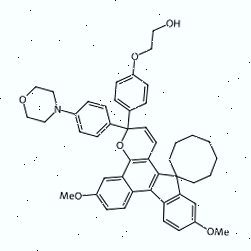 COc1ccc2c(c1)C1(CCCCCCC1)c1c3c(c4cc(OC)ccc4c1-2)OC(c1ccc(OCCO)cc1)(c1ccc(N2CCOCC2)cc1)C=C3